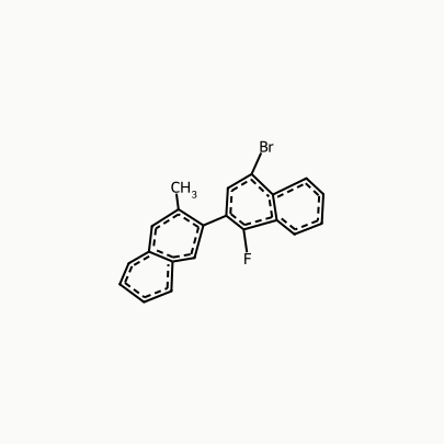 Cc1cc2ccccc2cc1-c1cc(Br)c2ccccc2c1F